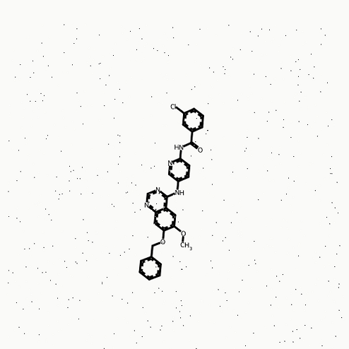 COc1cc2c(Nc3ccc(NC(=O)c4cccc(Cl)c4)nc3)ncnc2cc1OCc1ccccc1